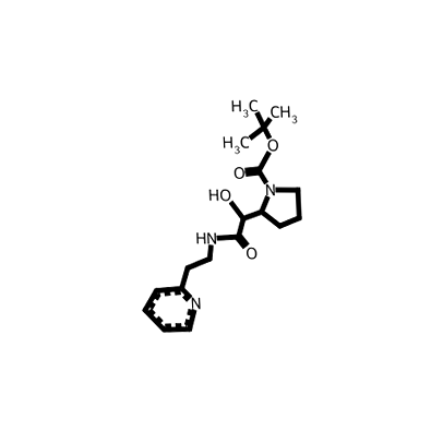 CC(C)(C)OC(=O)N1CCCC1C(O)C(=O)NCCc1ccccn1